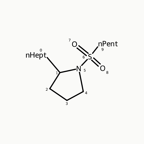 CCCCCCCC1CCCN1S(=O)(=O)CCCCC